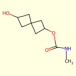 CNC(=O)OC1CC2(CC(O)C2)C1